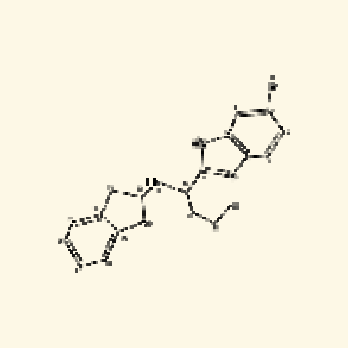 Brc1ccc2c3c([nH]c2c1)C(NC1Cc2ccccc2C1)CCC3